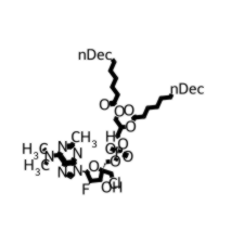 CCCCCCCCCCCCCCCC(=O)OCC(COP(=O)(O)OC[C@@]1(CCl)O[C@@H](n2cnc3c(N(C)C)nc(C)nc32)[C@@H](F)[C@@H]1O)OC(=O)CCCCCCCCCCCCCCC